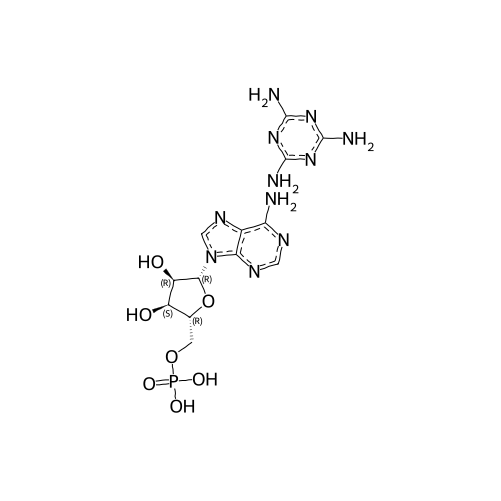 Nc1nc(N)nc(N)n1.Nc1ncnc2c1ncn2[C@@H]1O[C@H](COP(=O)(O)O)[C@@H](O)[C@H]1O